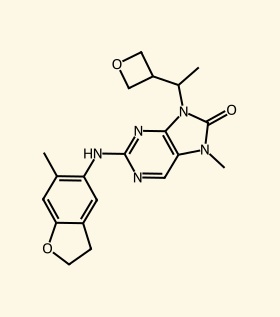 Cc1cc2c(cc1Nc1ncc3c(n1)n(C(C)C1COC1)c(=O)n3C)CCO2